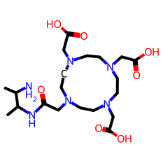 CC(N)C(C)NC(=O)CN1CCN(CC(=O)O)CCN(CC(=O)O)CCN(CC(=O)O)CC1